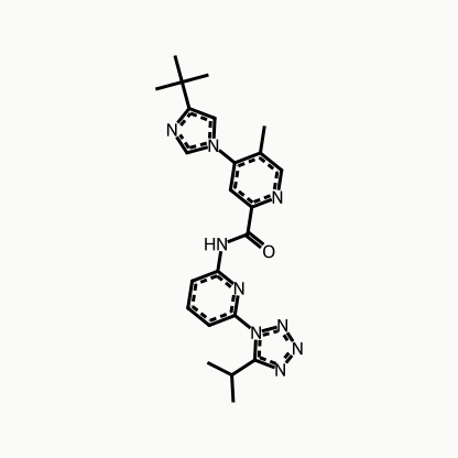 Cc1cnc(C(=O)Nc2cccc(-n3nnnc3C(C)C)n2)cc1-n1cnc(C(C)(C)C)c1